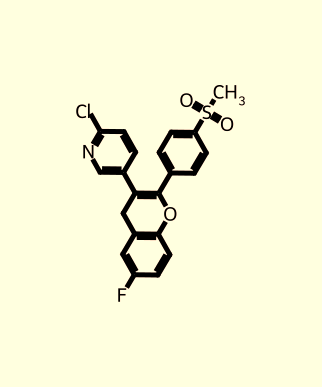 CS(=O)(=O)c1ccc(C2=C(c3ccc(Cl)nc3)Cc3cc(F)ccc3O2)cc1